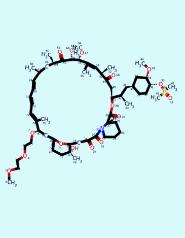 COCCOCCO[C@@H]1C[C@@H]2CC[C@@H](C)[C@](O)(CC(=O)C(=O)N3CCCC[C@H]3C(=O)O[C@H]([C@H](C)C[C@@H]3CC[C@@H](OP(C)(C)=O)[C@H](OC)C3)CC(=O)[C@H](C)/C=C(\C)[C@@H](OC)[C@@H](OC)C(=O)[C@H](C)C[C@H](C)/C=C/C=C/C=C/1C)O2